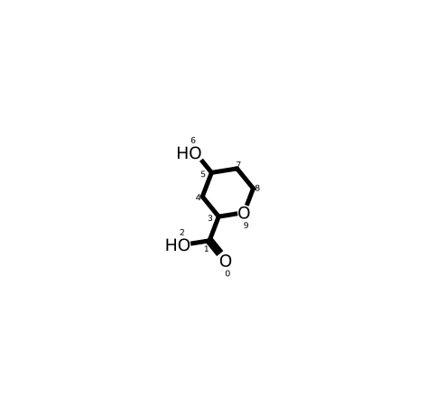 O=C(O)C1CC(O)CCO1